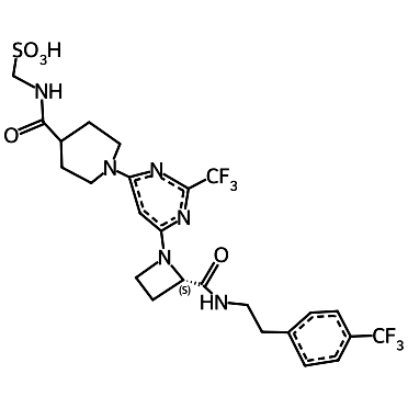 O=C(NCS(=O)(=O)O)C1CCN(c2cc(N3CC[C@H]3C(=O)NCCc3ccc(C(F)(F)F)cc3)nc(C(F)(F)F)n2)CC1